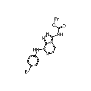 CC(C)OC(=O)Nc1nnc2c(Nc3ccc(Br)cc3)nccn12